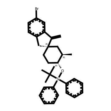 C=C1c2cc(Br)ccc2C[C@]12CC[C@@H](O[Si](c1ccccc1)(c1ccccc1)C(C)(C)C)[C@H](C)C2